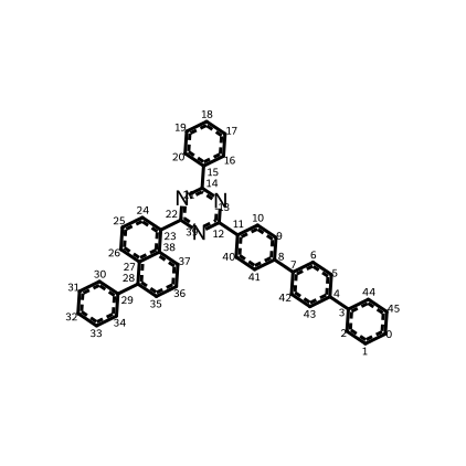 c1ccc(-c2ccc(-c3ccc(-c4nc(-c5ccccc5)nc(-c5cccc6c(-c7ccccc7)cccc56)n4)cc3)cc2)cc1